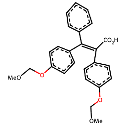 COCOc1ccc(/C(C(=O)O)=C(/c2ccccc2)c2ccc(OCOC)cc2)cc1